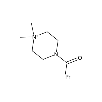 CC(C)C(=O)N1CC[N+](C)(C)CC1